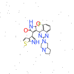 O=C1NC(=O)C(c2nc(N3CCN4CCCC4C3)nc3cccc(F)c23)=C1c1c[nH]c2sccc12